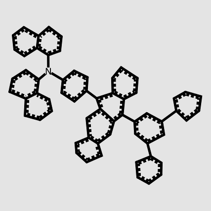 c1ccc(-c2cc(-c3ccccc3)cc(-c3c4ccccc4c(-c4ccc(N(c5cccc6ccccc56)c5cccc6ccccc56)cc4)c4cc5ccccc5cc34)c2)cc1